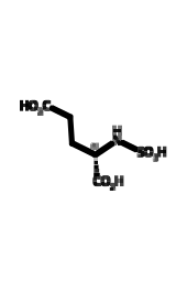 O=C(O)CC[C@H](NS(=O)(=O)O)C(=O)O